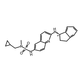 CN(CC1CC1)S(=O)(=O)Nc1ccc2nc(N[C@@H]3CCc4ccccc43)ccc2c1